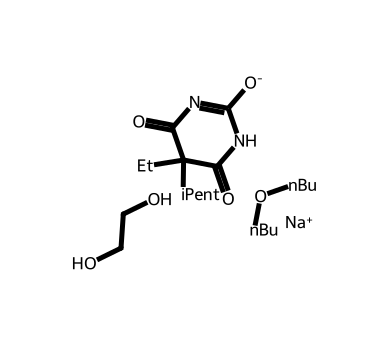 CCCC(C)C1(CC)C(=O)N=C([O-])NC1=O.CCCCOCCCC.OCCO.[Na+]